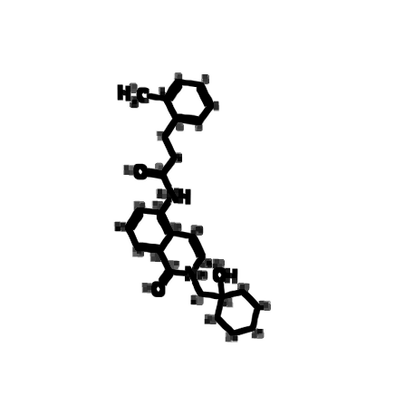 Cc1ccccc1CCC(=O)Nc1cccc2c(=O)n(CC3(O)CCCCC3)ccc12